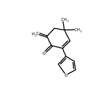 C=C1CC(C)(C)C=C(c2ccoc2)C1=O